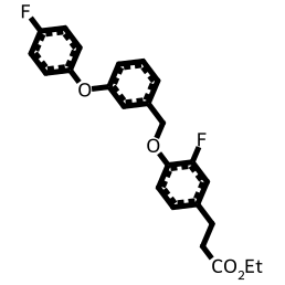 CCOC(=O)CCc1ccc(OCc2cccc(Oc3ccc(F)cc3)c2)c(F)c1